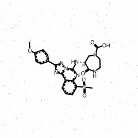 COc1ccc(-c2nc3c4cccc(S(C)(=O)=O)c4nc(N[C@@H]4CN(C(=O)O)CCNC4=O)n3n2)cc1